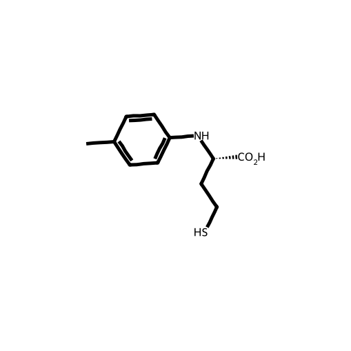 Cc1ccc(N[C@@H](CCS)C(=O)O)cc1